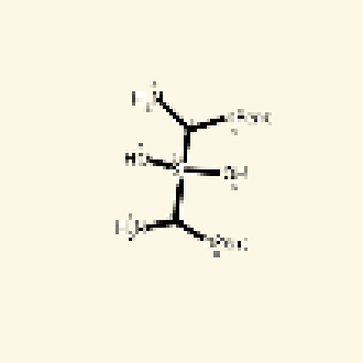 CCCCCC(N)[Si](O)(O)C(N)CCCCC